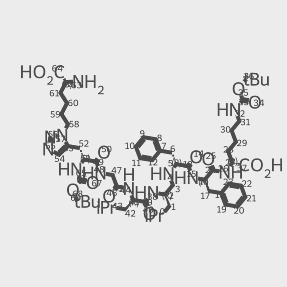 CC(C)C[C@H](CN[C@H](Cc1ccccc1)C(=O)N[C@H](Cc1ccccc1)C(=O)N[C@H](CCCCNC(=O)OC(C)(C)C)C(=O)O)NC(=O)[C@@H](CC(C)C)NC(=O)CNC(=O)[C@@H](Cc1cnnn1CCCC[C@H](N)C(=O)O)NC(=O)OC(C)(C)C